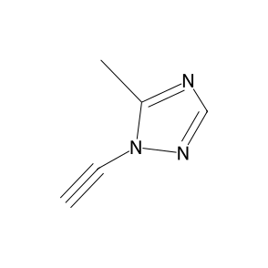 C#Cn1ncnc1C